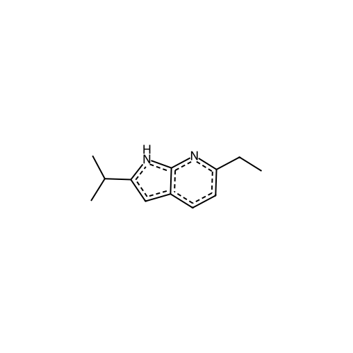 CCc1ccc2cc(C(C)C)[nH]c2n1